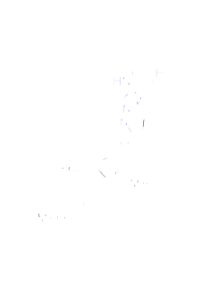 COCCOCOc1c(OC)cc(COc2ccc3nc(NC(=O)O)cn3n2)cc1OC